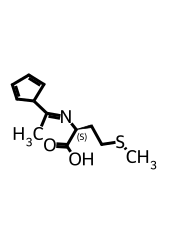 CSCC[C@H](N=C(C)C1C=CC=C1)C(=O)O